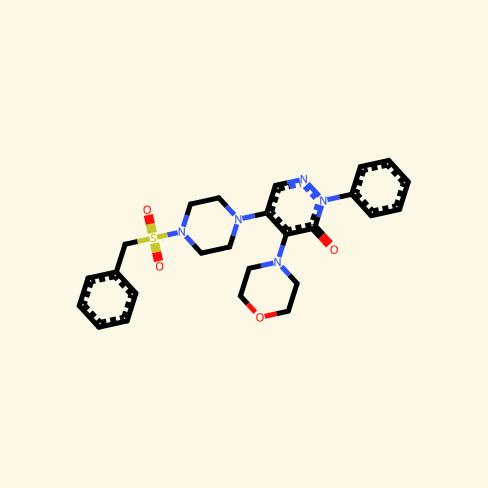 O=c1c(N2CCOCC2)c(N2CCN(S(=O)(=O)Cc3ccccc3)CC2)cnn1-c1ccccc1